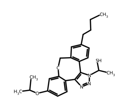 CCCCc1ccc2c(c1)CCc1cc(OC(C)C)ccc1-c1nnn(C(C)S)c1-2